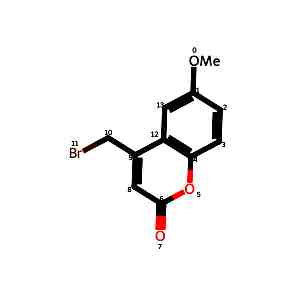 COc1ccc2oc(=O)cc(CBr)c2c1